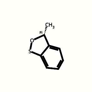 C[C@H]1OSc2ccccc21